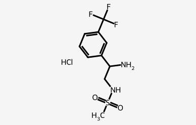 CS(=O)(=O)NCC(N)c1cccc(C(F)(F)F)c1.Cl